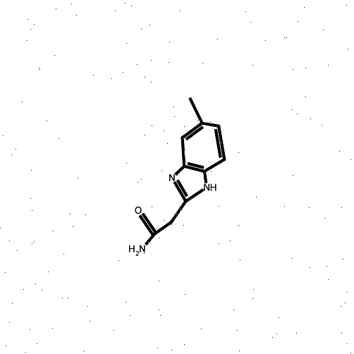 Cc1ccc2[nH]c([CH]C(N)=O)nc2c1